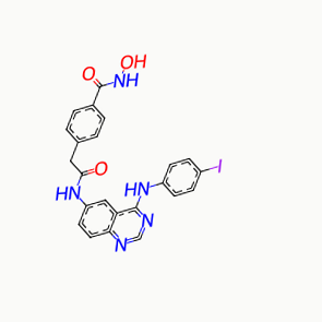 O=C(Cc1ccc(C(=O)NO)cc1)Nc1ccc2ncnc(Nc3ccc(I)cc3)c2c1